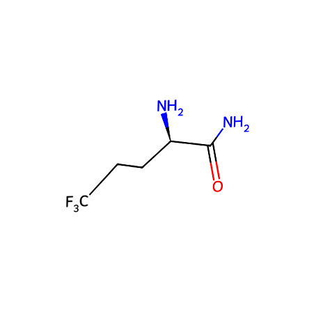 NC(=O)[C@H](N)CCC(F)(F)F